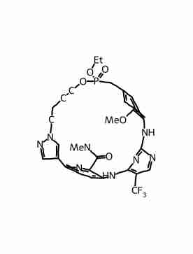 CCOP1(=O)Cc2ccc(c(OC)c2)Nc2ncc(C(F)(F)F)c(n2)Nc2ccc(nc2C(=O)NC)-c2cnn(c2)CCCCO1